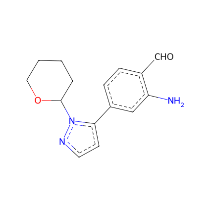 Nc1cc(-c2ccnn2C2CCCCO2)ccc1C=O